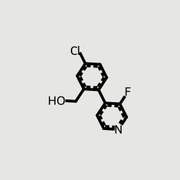 OCc1cc(Cl)ccc1-c1ccncc1F